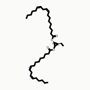 CCCCC/C=C\C/C=C\CCCCCCCC(=O)OC1[C@H](CC)[C@H]1OC(=O)CCCCCCC/C=C\C/C=C\CCCCC